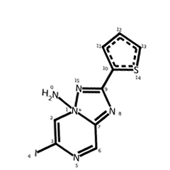 N[N+]12C=C(I)N=CC1=NC(c1cccs1)=N2